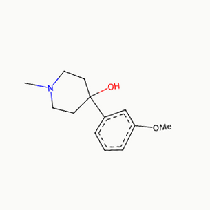 COc1cccc(C2(O)CCN(C)CC2)c1